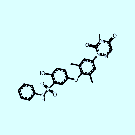 Cc1cc(-n2ncc(=O)[nH]c2=O)cc(C)c1Oc1ccc(O)c(S(=O)(=O)Nc2ccccc2)c1